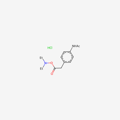 CCN(CC)OC(=O)Cc1ccc(NC(C)=O)cc1.Cl